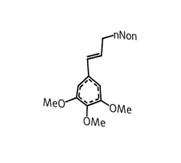 CCCCCCCCCC/C=C/c1cc(OC)c(OC)c(OC)c1